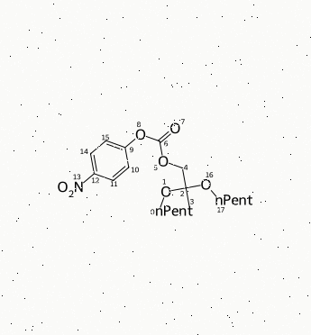 CCCCCOC(C)(COC(=O)Oc1ccc([N+](=O)[O-])cc1)OCCCCC